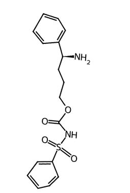 N[C@@H](CCCOC(=O)NS(=O)(=O)c1ccccc1)c1ccccc1